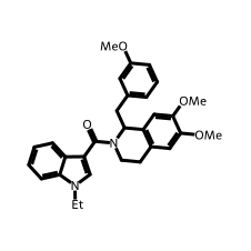 CCn1cc(C(=O)N2CCc3cc(OC)c(OC)cc3C2Cc2cccc(OC)c2)c2ccccc21